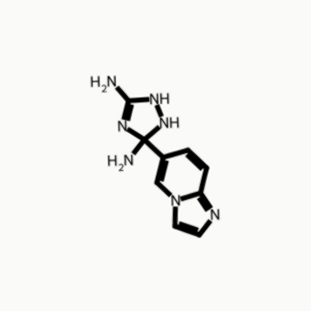 NC1=NC(N)(c2ccc3nccn3c2)NN1